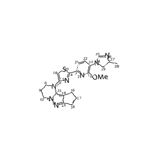 COc1nc(-c2nc(N3CCCn4nc5c(c43)CCC5)cs2)ccc1N1C=NC(C)C1